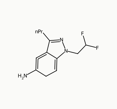 CCCc1nn(CC(F)F)c2c1=C=C(N)CC=2